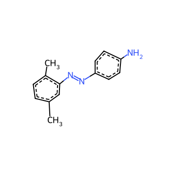 Cc1ccc(C)c(N=Nc2ccc(N)cc2)c1